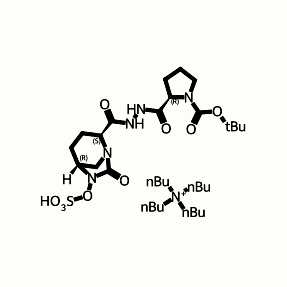 CC(C)(C)OC(=O)N1CCC[C@@H]1C(=O)NNC(=O)[C@@H]1CC[C@@H]2CN1C(=O)N2OS(=O)(=O)O.CCCC[N+](CCCC)(CCCC)CCCC